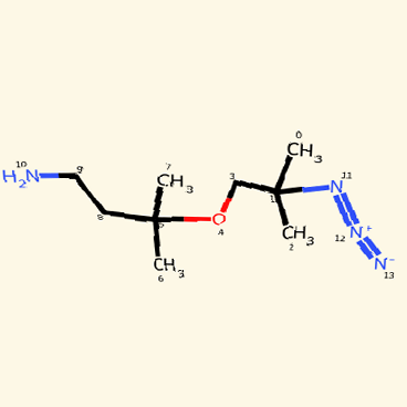 CC(C)(COC(C)(C)CCN)N=[N+]=[N-]